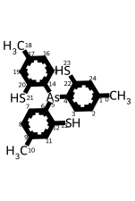 Cc1ccc([As](c2ccc(C)cc2S)c2ccc(C)cc2S)c(S)c1